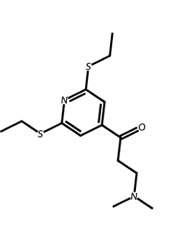 CCSc1cc(C(=O)CCN(C)C)cc(SCC)n1